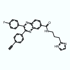 C#Cc1ccc(-c2nc3cc(C(=O)NCCCc4ncc[nH]4)ccc3nc2-c2ccc(F)cc2)cc1